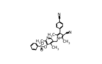 Cc1ncc(Cn2c(C)c(C#N)c(-c3ccc(C#N)cc3)c2C)c(C)c1OS(=O)(=O)c1ccccc1